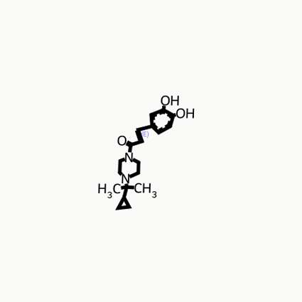 CC(C)(C1CC1)N1CCN(C(=O)/C=C/c2ccc(O)c(O)c2)CC1